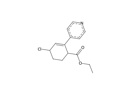 CCOC(=O)C1CCC(Cl)C=C1c1ccncc1